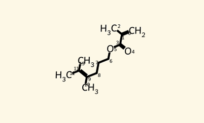 C=C(C)C(=O)OCCCC(C)=C(C)C